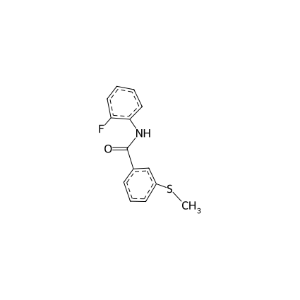 CSc1cccc(C(=O)Nc2ccccc2F)c1